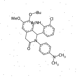 CCC(C)Oc1cc2c(cc1OC)CC(=O)N(c1ccc(N(C)C)cc1)C2c1cccc(Cl)c1NC(C)=O